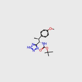 COc1ccc([C@H](C)[C@H](NC(=O)OC(C)(C)C)c2nn[nH]n2)cc1